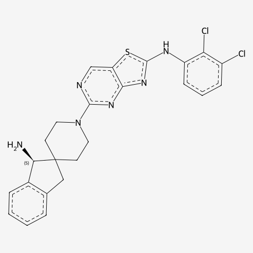 N[C@@H]1c2ccccc2CC12CCN(c1ncc3sc(Nc4cccc(Cl)c4Cl)nc3n1)CC2